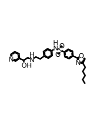 CCCCCc1coc(-c2ccc(S(=O)(=O)Nc3ccc(CCNCC(O)c4cccnc4)cc3)cc2)n1